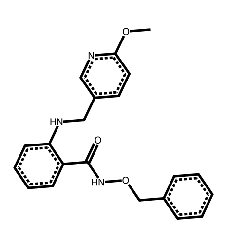 COc1ccc(CNc2ccccc2C(=O)NOCc2ccccc2)cn1